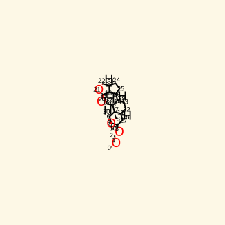 COCO[C@@H]1CC[C@@]2(COC)[C@@H](CC[C@@H]3[C@@H]2CC[C@]24C(=O)OC[C@H]2CC[C@@H]34)C1